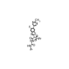 Cc1ncc(-c2cc3sc(C(C(=O)NCC(=O)NC4CC4)S(=O)(=O)C(C)C)nc3cc2F)cn1